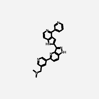 CN(C)Cc1cncc(-c2ccc3[nH]nc(-c4cc5c(-c6cccnc6)nccc5[nH]4)c3n2)c1